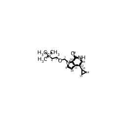 C[Si](C)(C)CCOCn1ccc2c(C3CC3)c[nH]c(=O)c21